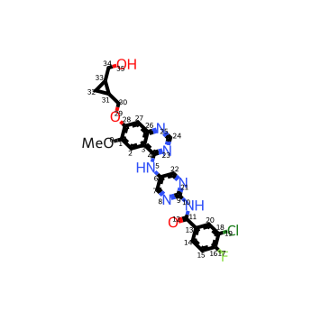 COc1cc2c(Nc3cnc(NC(=O)c4ccc(F)c(Cl)c4)nc3)ncnc2cc1OCC1CC1CO